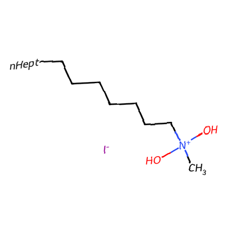 CCCCCCCCCCCCCC[N+](C)(O)O.[I-]